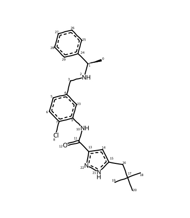 C[C@@H](NCc1ccc(Cl)c(NC(=O)c2cc(CC(C)(C)C)[nH]n2)c1)c1ccccc1